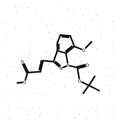 COC(=O)/C=C/c1nn(C(=O)OC(C)(C)C)c2c(OC)cccc12